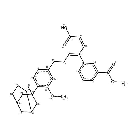 COC(=O)c1cccc(C(/C=C\C(=O)O)=C\CCc2ccc(C34CC5CC(CC(C5)C3)C4)c(OC)c2)c1